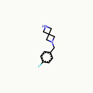 Fc1ccc(CN2CC3(CNC3)C2)cc1